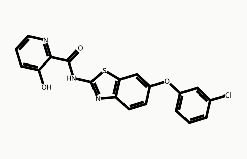 O=C(Nc1nc2ccc(Oc3cccc(Cl)c3)cc2s1)c1ncccc1O